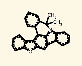 CC1(C)c2ccccc2-c2c3c(cc4c5ccccc5n1c24)oc1ccccc13